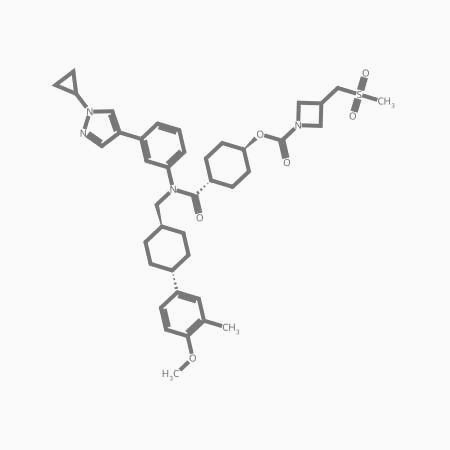 COc1ccc([C@H]2CC[C@H](CN(c3cccc(-c4cnn(C5CC5)c4)c3)C(=O)[C@H]3CC[C@H](OC(=O)N4CC(CS(C)(=O)=O)C4)CC3)CC2)cc1C